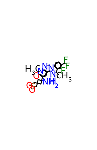 C[C@@H](Nc1ncnc2c1cc(C1(N)CC3(C1)CS(=O)(=O)C3)c(=O)n2C)c1cccc(C(F)F)c1F